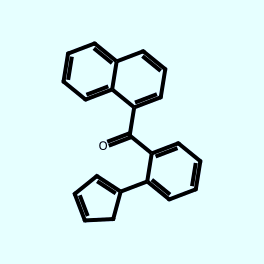 O=C(c1ccccc1C1=CC=CC1)c1cccc2ccccc12